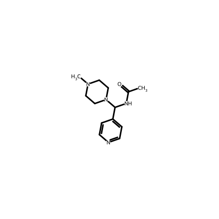 CC(=O)NC(c1ccncc1)N1CCN(C)CC1